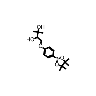 CC(C)(O)C(O)COc1ccc(B2OC(C)(C)C(C)(C)O2)cc1